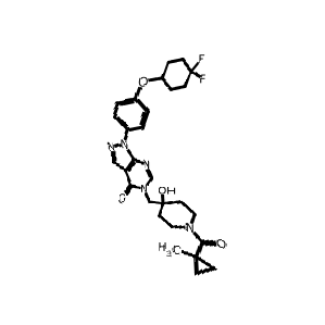 CC1(C(=O)N2CCC(O)(Cn3cnc4c(cnn4-c4ccc(OC5CCC(F)(F)CC5)cc4)c3=O)CC2)CC1